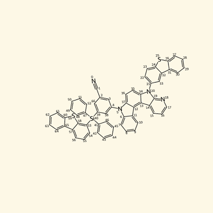 N#Cc1cc(-n2c3ccccc3c3c4c5cccnc5n(-c5ccc6sc7ccccc7c6c5)c4ccc32)cc([Si](c2ccccc2)(c2ccccc2)c2cccc3c2sc2ccccc23)c1